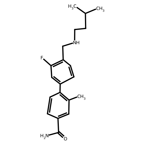 Cc1cc(C(N)=O)ccc1-c1ccc(CNCCC(C)C)c(F)c1